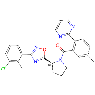 Cc1ccc(-c2ncccn2)c(C(=O)N2CCC[C@H]2c2nc(-c3cccc(Cl)c3C)no2)c1